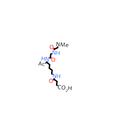 CNCC(=O)NCC(=O)N[C@@H](CCCCNC(=O)CCC(=O)O)C(C)=O